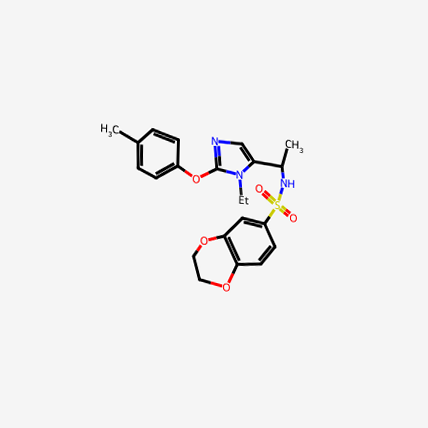 CCn1c(C(C)NS(=O)(=O)c2ccc3c(c2)OCCO3)cnc1Oc1ccc(C)cc1